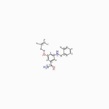 CC(C)=C(C)CCOc1cc(NCc2ccccc2C)cc(C(N)=O)c1